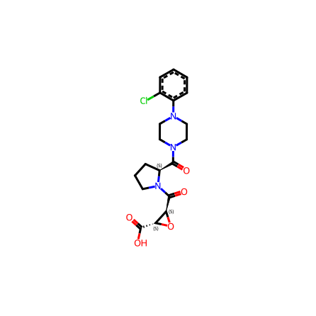 O=C(O)[C@H]1O[C@@H]1C(=O)N1CCC[C@H]1C(=O)N1CCN(c2ccccc2Cl)CC1